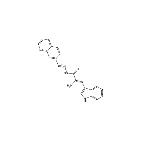 NC(=Cc1c[nH]c2ccccc12)C(=O)N/N=C/c1ccc2nccnc2c1